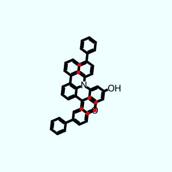 Oc1cc(Oc2ccc(-c3ccccc3)cc2)cc(N(c2ccc(-c3ccccc3)cc2)c2c(-c3ccccc3)cccc2-c2ccccc2)c1